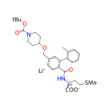 CSCC[C@H](NC(=O)c1ccc(COC2CCN(C(=O)OC(C)(C)C)CC2)cc1-c1ccccc1C)C(=O)[O-].[Li+]